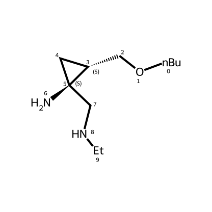 CCCCOC[C@H]1C[C@@]1(N)CNCC